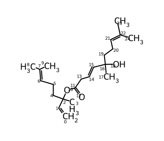 C=CC(C)(CCC=C(C)C)OC(=O)CC=CC(C)(O)CCC=C(C)C